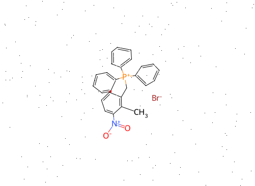 Cc1c(C[P+](c2ccccc2)(c2ccccc2)c2ccccc2)cccc1[N+](=O)[O-].[Br-]